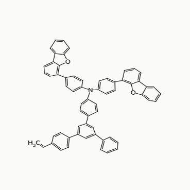 C=Cc1ccc(-c2cc(-c3ccccc3)cc(-c3ccc(N(c4ccc(-c5cccc6c5oc5ccccc56)cc4)c4ccc(-c5cccc6c5oc5ccccc56)cc4)cc3)c2)cc1